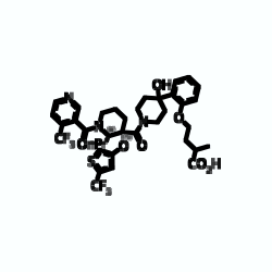 CCC[C@H]1N(C(=O)c2cnccc2C(F)(F)F)CCC[C@@]1(Oc1csc(C(F)(F)F)c1)C(=O)N1CCC(O)(c2ccccc2OCCC(C)C(=O)O)CC1